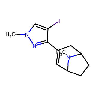 CN1C2C=C(c3nn(C)cc3I)CC1CC2